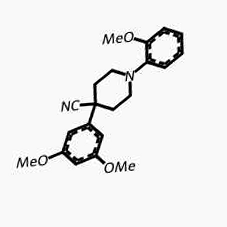 COc1cc(OC)cc(C2(C#N)CCN(c3ccccc3OC)CC2)c1